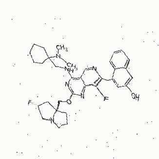 CN(C)C1(CNc2nc(OC[C@@]34CCCN3C[C@H](F)C4)nc3c(F)c(-c4cc(O)cc5ccccc45)ncc23)CCCCC1